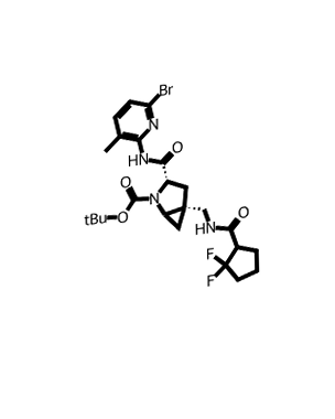 Cc1ccc(Br)nc1NC(=O)[C@@H]1C[C@@]2(CNC(=O)C3CCCC3(F)F)CC2N1C(=O)OC(C)(C)C